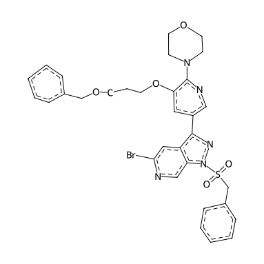 O=S(=O)(Cc1ccccc1)n1nc(-c2cnc(N3CCOCC3)c(OCCCOCc3ccccc3)c2)c2cc(Br)ncc21